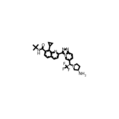 CC(C)(C)NC(=O)c1ccc2ccc(-c3nnc4ccc([C@@H](N5CC[C@H](N)C5)C(F)(F)F)cn34)nc2c1C1CC1